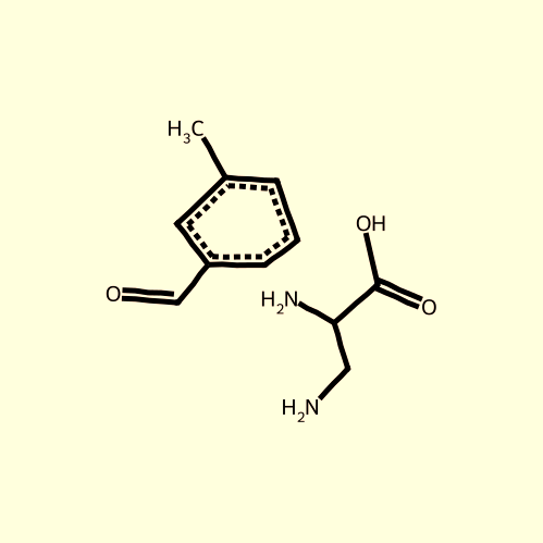 Cc1cccc(C=O)c1.NCC(N)C(=O)O